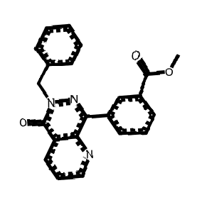 COC(=O)c1cccc(-c2nn(Cc3ccccc3)c(=O)c3cccnc23)c1